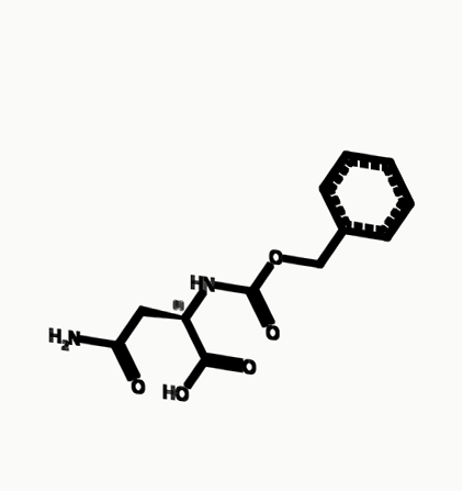 NC(=O)C[C@@H](NC(=O)OCc1ccccc1)C(=O)O